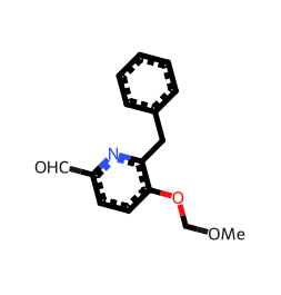 COCOc1ccc(C=O)nc1Cc1ccccc1